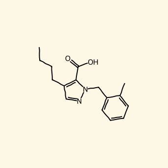 CCCCc1cnn(Cc2ccccc2C)c1C(=O)O